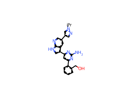 CC(C)n1cc(-c2cnc3[nH]cc(-c4cc(-c5ccccc5CO)nc(N)n4)c3c2)cn1